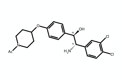 CC(=O)N1CCC(Oc2ccc([C@@H](O)[C@@H](N)c3ccc(Cl)c(Cl)c3)cc2)CC1